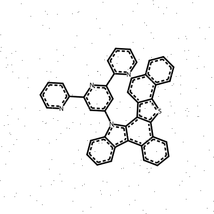 c1ccc(-c2cc(-n3c4ccccc4c4c5ccccc5c5sc6c7ccccc7ccc6c5c43)cc(-c3ccccn3)n2)nc1